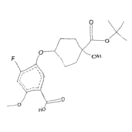 COc1cc(F)c(OC2CCC(O)(C(=O)OC(C)(C)C)CC2)cc1C(=O)O